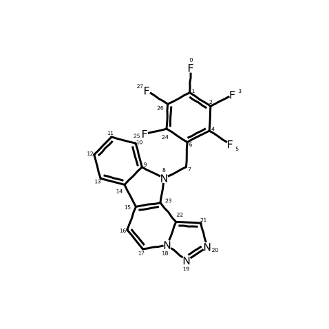 Fc1c(F)c(F)c(Cn2c3ccccc3c3ccn4nncc4c32)c(F)c1F